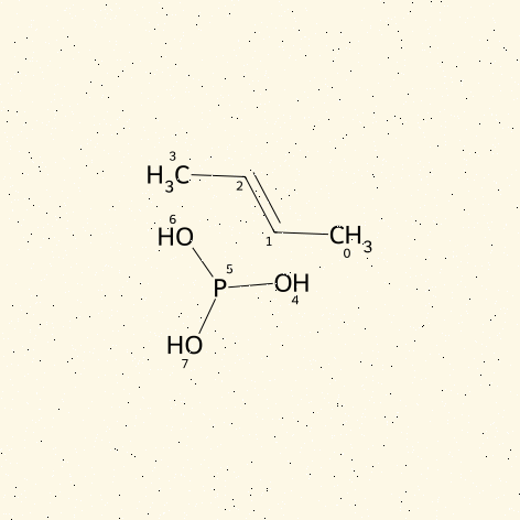 CC=CC.OP(O)O